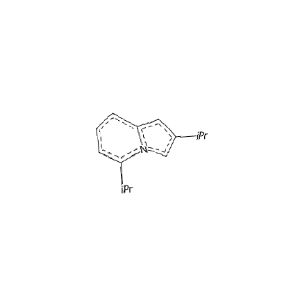 CC(C)c1cc2cccc(C(C)C)n2c1